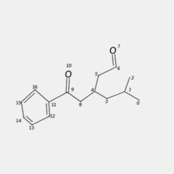 CC(C)CC(CC=O)CC(=O)c1ccccc1